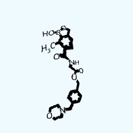 Cc1c(C(=O)NCC(=O)OCc2ccc(CN3CCOCC3)cc2)ccc2c1B(O)OC2